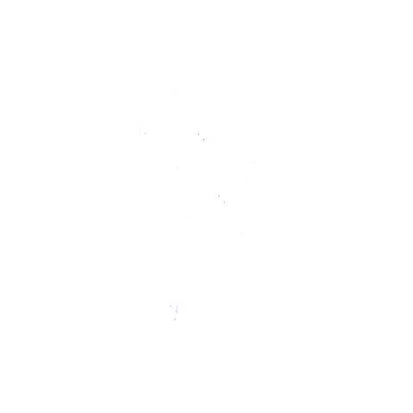 O=C(Nc1cccc(Cl)c1)C1CN(C(=O)c2cc(F)cc(-c3ccncc3)c2)CC(F)(F)C1